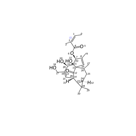 C/C=C(/C)C(=O)O[C@H]1C(C)=CC23C(=O)[C@@H](C=C(CO)[C@@H](O)[C@]12O)C1[C@@H](CC3C)C1(C)C